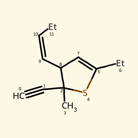 C#CC1(C)SC(CC)=CC1/C=C\CC